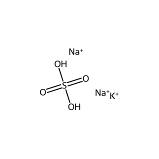 O=S(=O)(O)O.[K+].[Na+].[Na+]